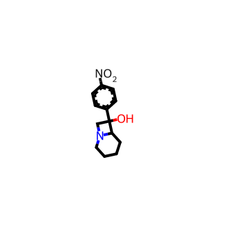 O=[N+]([O-])c1ccc(C2(O)CN3CCCCC32)cc1